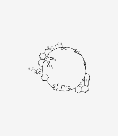 CCCC1(C)C2=CCC(CC2)C2CCC3CC=C(CCC3CC2)C2=CC=C3C=CC4=CCC(C5=CC=C(CC5)C5=CCC(CC5)C5C=CC(CC5)C(C)(CC)C5C=Cc6ccc7c8c6C5C(C)C(OC)C8C1C=C7)C1NCC2C3C41